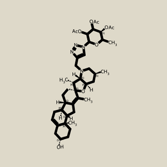 CC(=O)OC1C(OC(C)=O)[C@@H](OC(C)=O)C(C)OC1n1cc(CN2C[C@@H](C)C[C@H]3O[C@]4(CC[C@@H]5C(=C4C)C[C@H]4[C@H]5CC=C5C[C@@H](O)CC[C@@]54C)[C@H](C)[C@@H]32)nn1